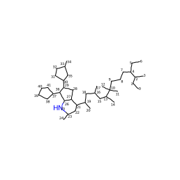 CCC(C)C(CC)CCCC(C)(C)C(C)CC(C)CC(C)C1CC(C)NC2C1CC(C1CCC(C)C1)C2C1CCCC1